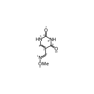 CON=Cc1c[nH]c(=O)[nH]c1=O